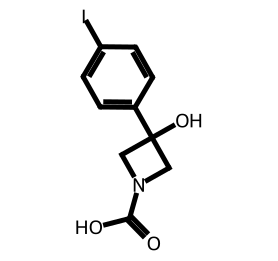 O=C(O)N1CC(O)(c2ccc(I)cc2)C1